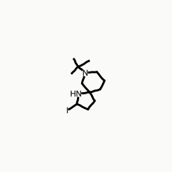 CC(C)(C)N1CCCC2(CCC(I)N2)C1